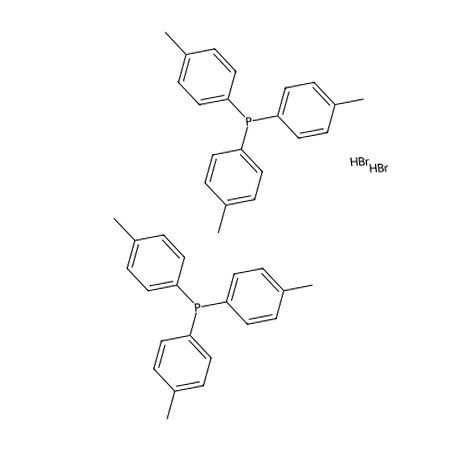 Br.Br.Cc1ccc(P(c2ccc(C)cc2)c2ccc(C)cc2)cc1.Cc1ccc(P(c2ccc(C)cc2)c2ccc(C)cc2)cc1